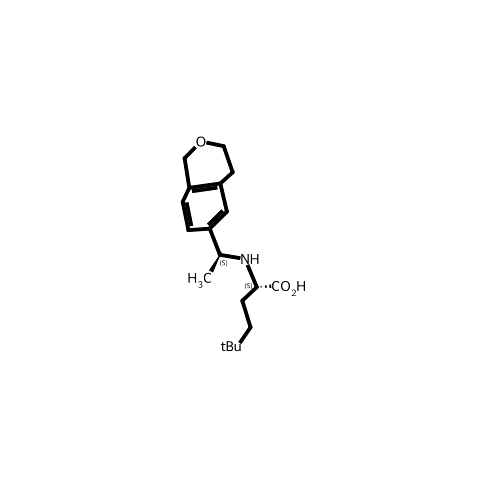 C[C@H](N[C@@H](CCC(C)(C)C)C(=O)O)c1ccc2c(c1)CCOC2